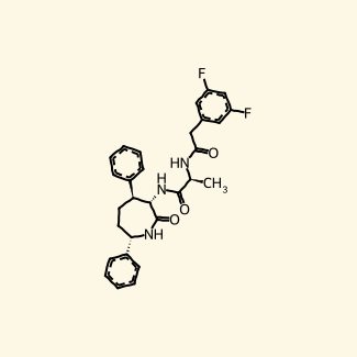 C[C@H](NC(=O)Cc1cc(F)cc(F)c1)C(=O)N[C@@H]1C(=O)N[C@H](c2ccccc2)CC[C@H]1c1ccccc1